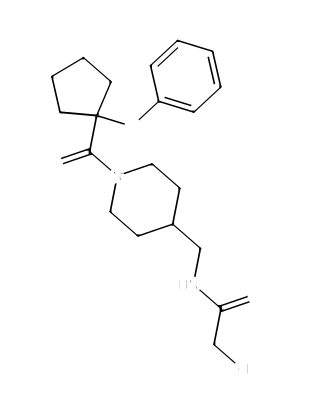 O=C(CCl)NCC1CCN(C(=O)C2(Oc3ccccc3)CCCC2)CC1